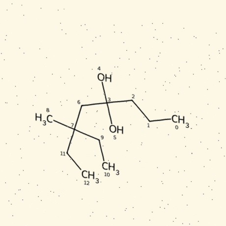 CCCC(O)(O)CC(C)(CC)CC